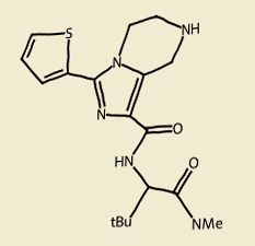 CNC(=O)C(NC(=O)c1nc(-c2cccs2)n2c1CNCC2)C(C)(C)C